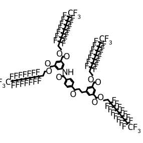 O=C(CCc1cc(C(=O)OCCC(F)(F)C(F)(F)C(F)(F)C(F)(F)C(F)(F)C(F)(F)C(F)(F)C(F)(F)F)cc(C(=O)OCCC(F)(F)C(F)(F)C(F)(F)C(F)(F)C(F)(F)C(F)(F)C(F)(F)C(F)(F)F)c1)c1ccc(C(=O)Nc2cc(C(=O)OCCC(F)(F)C(F)(F)C(F)(F)C(F)(F)C(F)(F)C(F)(F)C(F)(F)C(F)(F)F)cc(C(=O)OCCC(F)(F)C(F)(F)C(F)(F)C(F)(F)C(F)(F)C(F)(F)C(F)(F)C(F)(F)F)c2)cc1